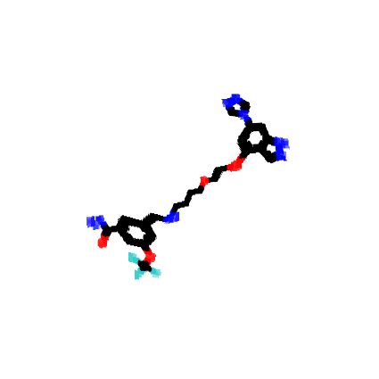 NC(=O)c1cc(CNCCCCOCCOc2cc(-n3cnnc3)cc3[nH]ncc23)cc(OC(F)(F)F)c1